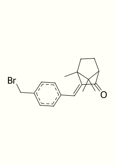 CC12CCC(C(=O)C1=Cc1ccc(CBr)cc1)C2(C)C